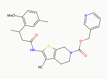 COc1ccc(C)cc1C(C)CC(=O)Nc1sc2c(c1C#N)CCN(C(=O)OCc1cccnc1)C2